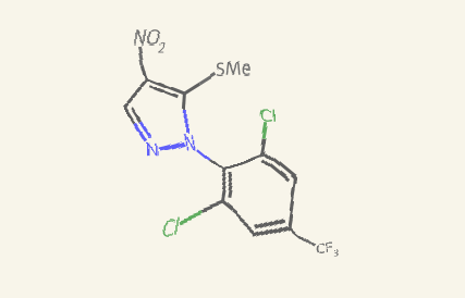 CSc1c([N+](=O)[O-])cnn1-c1c(Cl)cc(C(F)(F)F)cc1Cl